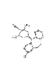 CC1CC(=C2c3ccc(Cl)cc3CCc3cccnc32)CC(C)N1C#N